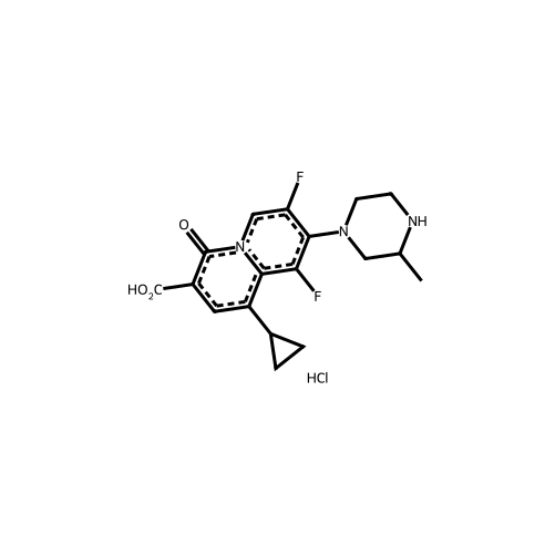 CC1CN(c2c(F)cn3c(=O)c(C(=O)O)cc(C4CC4)c3c2F)CCN1.Cl